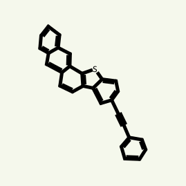 C(#Cc1ccc2sc3c4cc5ccccc5cc4ccc3c2c1)c1ccccc1